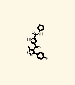 Cc1onc(-c2ccc(F)cc2)c1C(=O)c1c[nH]c(C(=O)NC2CCCC2)c1